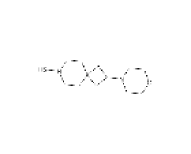 SN1CCC2(CC1)CC(N1CCOCC1)C2